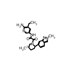 CCc1cc(NC(=O)C(=O)N2C[C@@H](C)CCC2c2ccc3cn(C)nc3c2)cnc1N